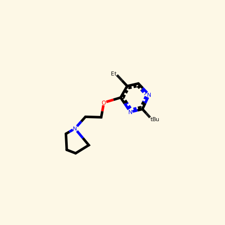 CCc1cnc(C(C)(C)C)nc1OCCN1CCCC1